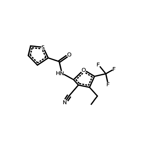 CCc1c(C(F)(F)F)oc(NC(=O)c2cccs2)c1C#N